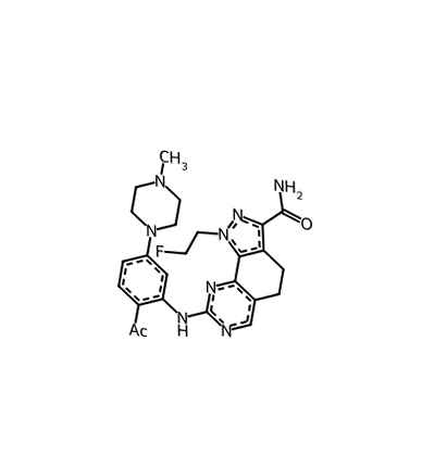 CC(=O)c1ccc(N2CCN(C)CC2)cc1Nc1ncc2c(n1)-c1c(c(C(N)=O)nn1CCF)CC2